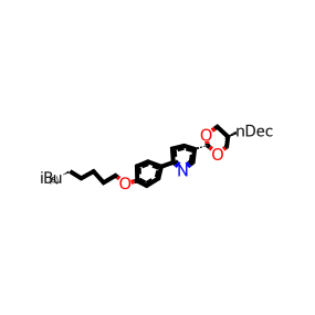 CCCCCCCCCC[C@H]1CO[C@H](c2ccc(-c3ccc(OCCCCC[C@@H](C)CC)cc3)nc2)OC1